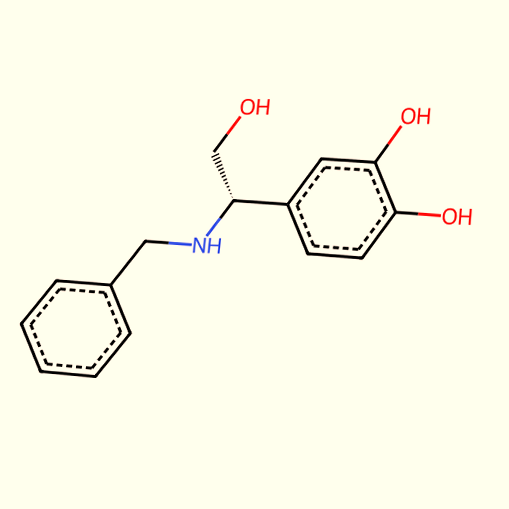 OC[C@@H](NCc1ccccc1)c1ccc(O)c(O)c1